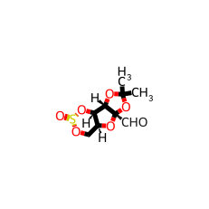 CC1(C)O[C@H]2[C@@H]3OS(=O)OC[C@@H]3O[C@@]2(C=O)O1